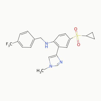 Cn1cnc(-c2cc(S(=O)(=O)C3CC3)ccc2NCc2ccc(C(F)(F)F)cc2)c1